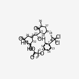 CC(C)(Oc1ccc(C2CC2(Cl)Cl)cc1)C(=O)O.C[C@@H]1C[C@@H]([C@H](O)CC2CC(=O)NC(=O)C2)C(=O)[C@@H](C)C1